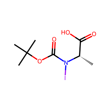 C[C@@H](C(=O)O)N(I)C(=O)OC(C)(C)C